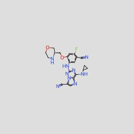 N#Cc1cc(Nc2nc(NC3CC3)c3ncc(C#N)n3n2)c(OC[C@@H]2COCCN2)cc1F